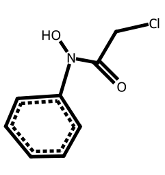 O=C(CCl)N(O)c1ccccc1